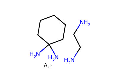 NC1(N)CCCCC1.NCCN.[Au]